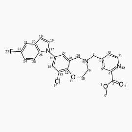 COC(=O)c1cc(CN2CCOc3c(Cl)cc(-n4ccc5cc(F)ccc54)cc3C2)ccn1